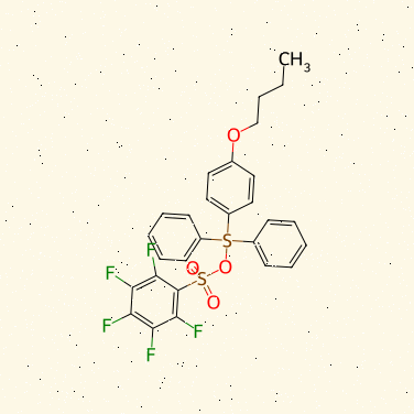 CCCCOc1ccc(S(OS(=O)(=O)c2c(F)c(F)c(F)c(F)c2F)(c2ccccc2)c2ccccc2)cc1